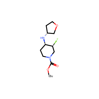 CC(C)(C)OC(=O)N1CC[C@@H](N[C@@H]2CCOC2)[C@@H](F)C1